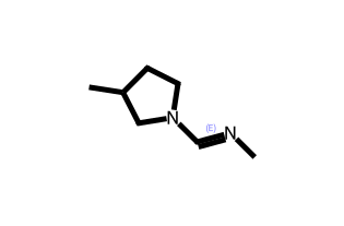 C/N=C/N1CCC(C)C1